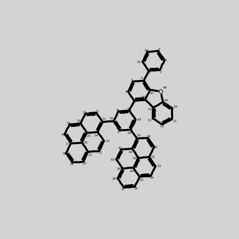 c1ccc(-c2ccc(-c3cc(-c4ccc5ccc6cccc7ccc4c5c67)cc(-c4ccc5ccc6cccc7ccc4c5c67)c3)c3c2oc2ccccc23)cc1